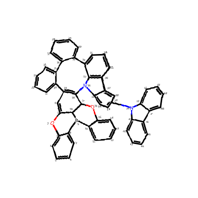 C1=C2Oc3ccccc3B3c4ccccc4OC(c4c1c1ccccc1c1ccccc1c1cccc5c6cc(-n7c8ccccc8c8ccccc87)ccc6n4c15)C32